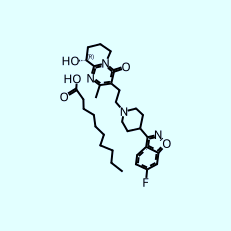 CCCCCCCCCC(=O)O.Cc1nc2n(c(=O)c1CCN1CCC(c3noc4cc(F)ccc34)CC1)CCC[C@H]2O